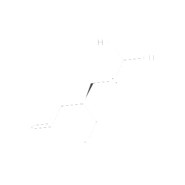 CC(C)NC[C@@H](CO)CC=O